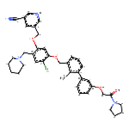 Cc1c(COc2cc(OCc3cncc(C#N)c3)c(CN3CCCCC3)cc2Cl)cccc1-c1cccc(OCC(=O)N2CCCC2)c1